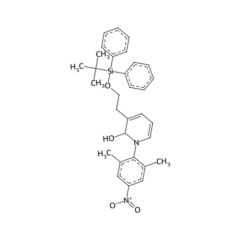 Cc1cc([N+](=O)[O-])cc(C)c1N1C=CC=C(CCO[Si](c2ccccc2)(c2ccccc2)C(C)(C)C)C1O